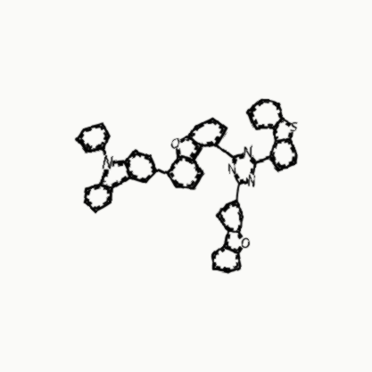 c1ccc(-n2c3ccccc3c3cc(-c4cccc5c4oc4cccc(-c6nc(-c7ccc8c(c7)oc7ccccc78)nc(-c7cccc8sc9ccccc9c78)n6)c45)ccc32)cc1